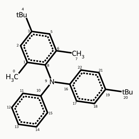 Cc1cc(C(C)(C)C)cc(C)c1N(c1ccccc1)c1ccc(C(C)(C)C)cc1